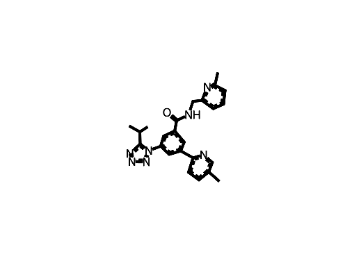 Cc1ccc(-c2cc(C(=O)NCc3cccc(C)n3)cc(-n3nnnc3C(C)C)c2)nc1